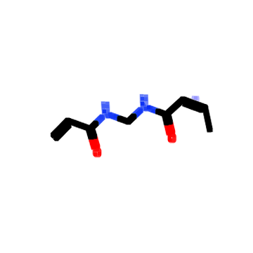 C=CC(=O)NCNC(=O)/C=C\C